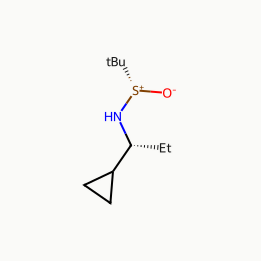 CC[C@@H](N[S@@+]([O-])C(C)(C)C)C1CC1